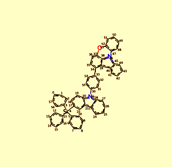 c1ccc([Si](c2ccccc2)(c2ccccc2)c2ccc3c(c2)c2ccccc2n3-c2ccc(-c3ccc4c5c3c3ccccc3n5-c3ccccc3O4)cc2)cc1